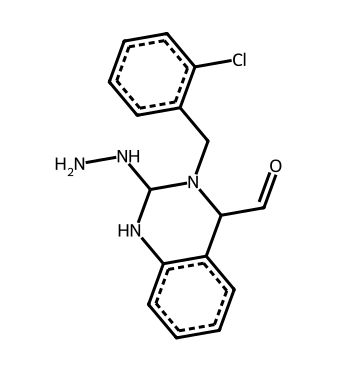 NNC1Nc2ccccc2C(C=O)N1Cc1ccccc1Cl